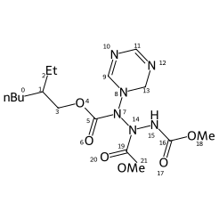 CCCCC(CC)COC(=O)N(N1C=NC=NC1)N(NC(=O)OC)C(=O)OC